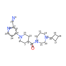 N#Cc1cc(N2CCC(C(=O)N3CCCN(C4CCC4)CC3)CC2)ccn1